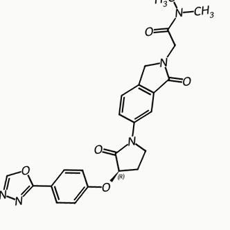 CN(C)C(=O)CN1Cc2ccc(N3CC[C@@H](Oc4ccc(-c5nnco5)cc4)C3=O)cc2C1=O